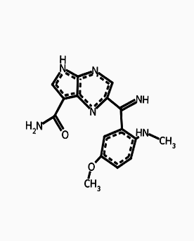 CNc1ccc(OC)cc1C(=N)c1cnc2[nH]cc(C(N)=O)c2n1